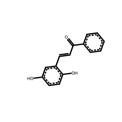 O=C(C=Cc1cc(O)ccc1O)c1ccccc1